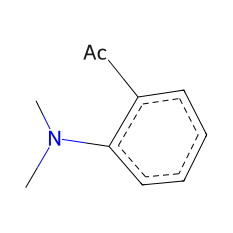 CC(=O)c1ccccc1N(C)C